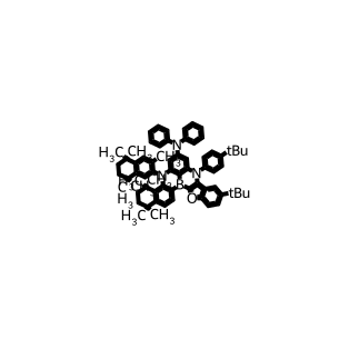 Cc1cc2c(cc1N1c3cc(N(c4ccccc4)c4ccccc4)cc4c3B(c3ccc5c(c31)C(C)(C)CCC5(C)C)c1oc3ccc(C(C)(C)C)cc3c1N4c1ccc(C(C)(C)C)cc1)C(C)(C)CCC2(C)C